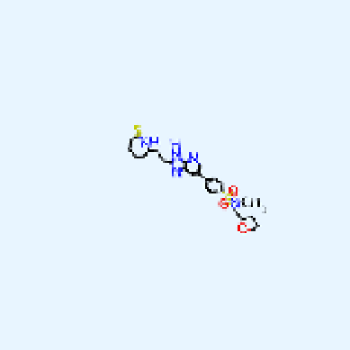 CN(CC1CCCO1)S(=O)(=O)c1ccc(-c2cnc3[nH]c(CCC4CCCCC(=S)N4)nc3c2)cc1